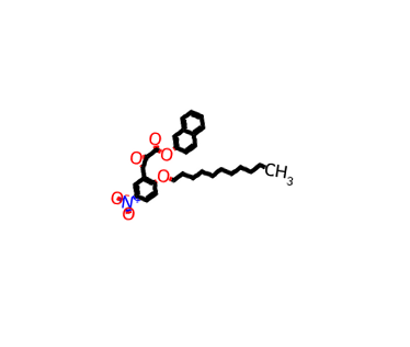 CCCCCCCCCCCOc1ccc([N+](=O)[O-])cc1C1OC1C(=O)Oc1ccc2ccccc2c1